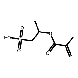 C=C(C)C(=O)OC(C)CS(=O)(=O)O